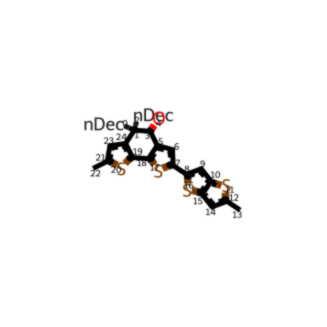 CCCCCCCCCCC1(CCCCCCCCCC)C(=O)c2cc(-c3cc4sc(C)cc4s3)sc2-c2sc(C)cc21